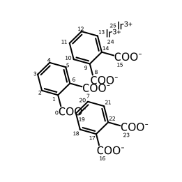 O=C([O-])c1ccccc1C(=O)[O-].O=C([O-])c1ccccc1C(=O)[O-].O=C([O-])c1ccccc1C(=O)[O-].[Ir+3].[Ir+3]